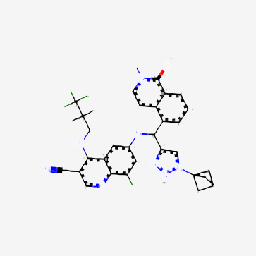 Cn1ccc2c(C(Nc3cc(Cl)c4ncc(C#N)c(NCC(C)(C)C(F)(F)F)c4c3)c3cn(C45CC(C4)C5)nn3)cccc2c1=O